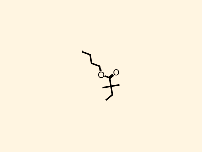 CCCCOC(=O)C(C)(C)CC